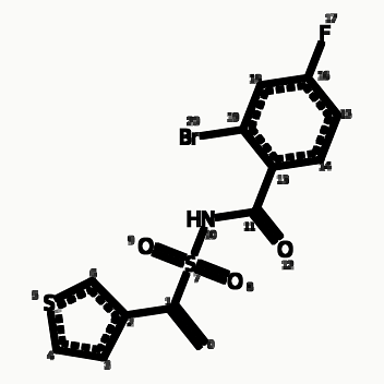 C=C(c1ccsc1)S(=O)(=O)NC(=O)c1ccc(F)cc1Br